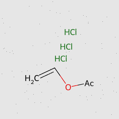 C=COC(C)=O.Cl.Cl.Cl